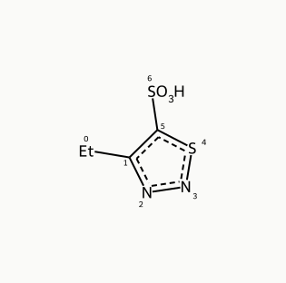 CCc1nnsc1S(=O)(=O)O